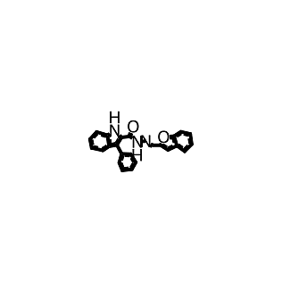 O=C(NN=Cc1cc2ccccc2o1)c1[nH]c2ccccc2c1-c1ccccc1